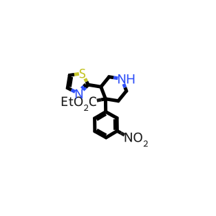 CCOC(=O)C1(c2cccc([N+](=O)[O-])c2)CCNCC1c1nccs1